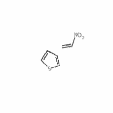 C=C[N+](=O)[O-].c1ccsc1